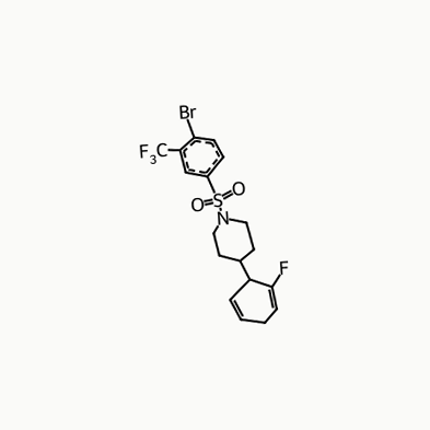 O=S(=O)(c1ccc(Br)c(C(F)(F)F)c1)N1CCC(C2C=CCC=C2F)CC1